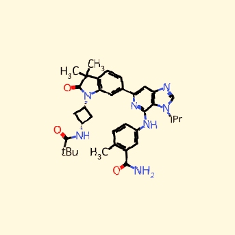 Cc1ccc(Nc2nc(-c3ccc4c(c3)N([C@H]3C[C@@H](NC(=O)C(C)(C)C)C3)C(=O)C4(C)C)cc3ncn(C(C)C)c23)cc1C(N)=O